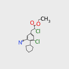 CCOC(=O)C(Cl)Cc1cc(Cl)c(C2CCCCC2)c(C#N)c1